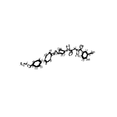 CC(=O)COc1ccc([C@H]2CC[C@@H](N3CC(NC(=O)CNC(=O)c4cccc(C)c4)C3)CC2)cc1